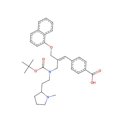 CN1CCCC1CCN(C/C(=C\c1ccc(C(=O)O)cc1)COc1cccc2ccccc12)C(=O)OC(C)(C)C